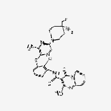 Nc1nc(N2CCC(N)(CF)CC2)cnc1Sc1cccc(NC(=O)c2c(O)nc3ccccn3c2=O)c1Cl